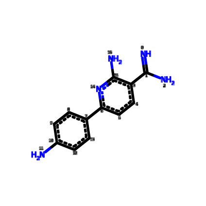 N=C(N)c1ccc(-c2ccc(N)cc2)nc1N